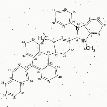 CC1C=C(C2N(C)c3ccccc3N2c2ccccc2)CCC1c1c2c(c(-c3ccc4ccccc4c3)c3ccccc13)=CCCC=2